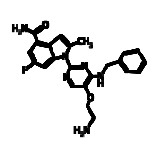 Cc1cc2c(C(N)=O)cc(F)cc2n1-c1ncc(OCCN)c(NCc2ccccc2)n1